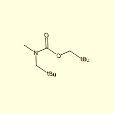 CN(CC(C)(C)C)C(=O)OCC(C)(C)C